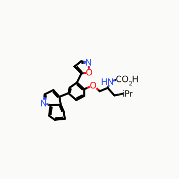 CC(C)CC(COc1ccc(-c2ccnc3ccccc23)cc1-c1ccno1)NC(=O)O